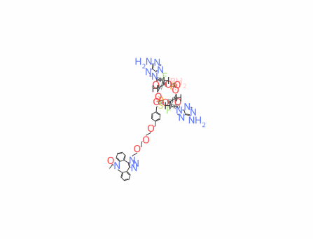 B[P@]1(=O)OC[C@H]2O[C@@H](n3cnc4c(N)ncnc43)[C@H](F)[C@@H]2O[P@@](=O)(SCc2ccc(COCCOCCOCCn3nnc4c3-c3ccccc3N(C(C)=O)Cc3ccccc3-4)cc2)OC[C@H]2O[C@@H](n3cnc4c(N)ncnc43)[C@H](F)[C@@H]2O1